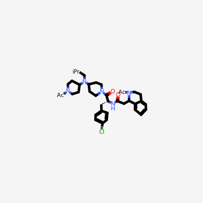 CC(=O)N1CCC(N(CC(C)C)C2CCN(C(=O)[C@@H](Cc3ccc(Cl)cc3)NC(=O)CC3c4ccccc4CCN3C(C)=O)CC2)CC1